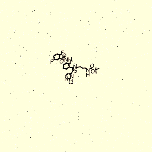 CC(C)(C)OC(=O)NCCCc1nc(-c2cccc(NS(=O)(=O)c3cc(F)ccc3F)c2F)c(-c2ccnc(Cl)n2)s1